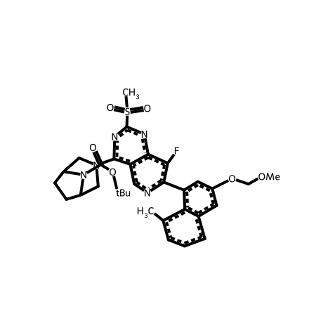 COCOc1cc(-c2ncc3c(N4CC5CCC(C4)N5C(=O)OC(C)(C)C)nc(S(C)(=O)=O)nc3c2F)c2c(C)cccc2c1